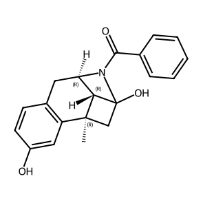 C[C@@]12CC3(O)[C@H]1[C@@H](Cc1ccc(O)cc12)N3C(=O)c1ccccc1